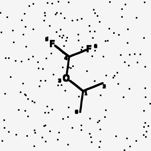 CC(C)OC(F)F